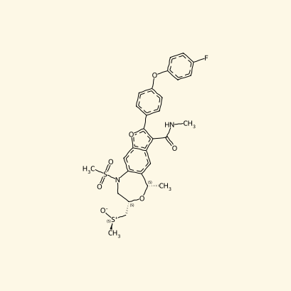 CNC(=O)c1c(-c2ccc(Oc3ccc(F)cc3)cc2)oc2cc3c(cc12)[C@H](C)O[C@H](C[S@@+](C)[O-])CN3S(C)(=O)=O